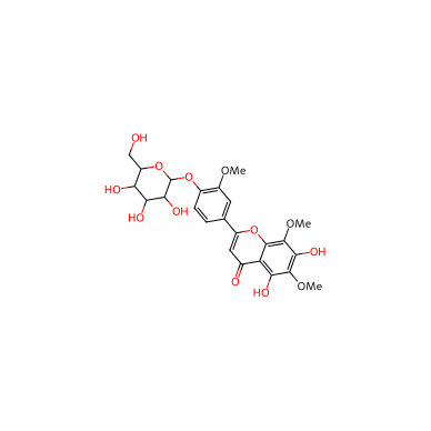 COc1cc(-c2cc(=O)c3c(O)c(OC)c(O)c(OC)c3o2)ccc1OC1OC(CO)C(O)C(O)C1O